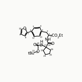 CCOC(=O)C(Cc1ccc(-c2ccco2)cc1)NC(=O)C1(NC(=O)OC(C)(C)C)CCCC1